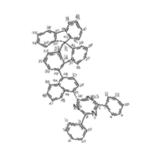 c1ccc(-c2nc(-c3ccccc3)nc(-c3ccc(-c4cccc5c4-c4ccccc4C54c5ccccc5-c5ccccc54)c4ccccc34)n2)cc1